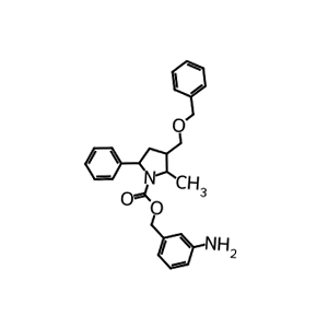 CC1C(COCc2ccccc2)CC(c2ccccc2)N1C(=O)OCc1cccc(N)c1